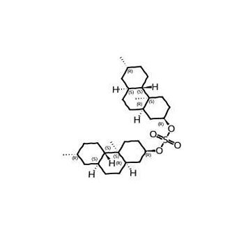 C[C@@H]1CC[C@H]2[C@@H](CC[C@@H]3C[C@H](OS(=O)(=O)O[C@@H]4CC[C@@]5(C)[C@H](CC[C@H]6C[C@H](C)CC[C@@H]65)C4)CC[C@@]32C)C1